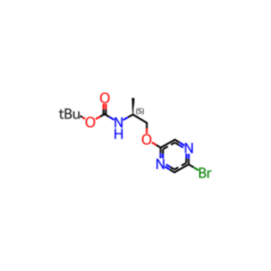 C[C@@H](COc1cnc(Br)cn1)NC(=O)OC(C)(C)C